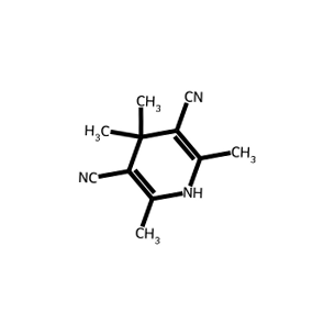 CC1=C(C#N)C(C)(C)C(C#N)=C(C)N1